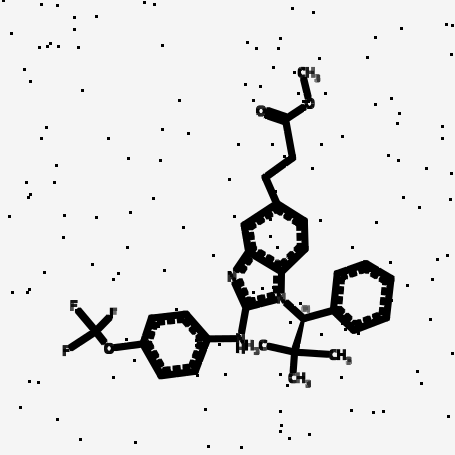 COC(=O)CCc1ccc2c(c1)nc(Nc1ccc(OC(F)(F)F)cc1)n2[C@@H](c1ccccc1)C(C)(C)C